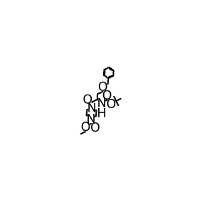 CCOC(=O)N1CCN(C(=O)C(CCOCc2ccccc2)NC(=O)OC(C)(C)C)CC1